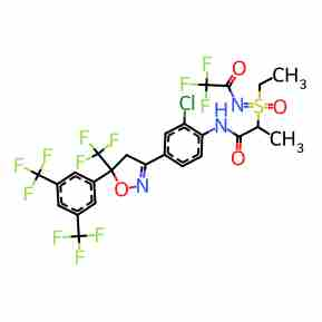 CCS(=O)(=NC(=O)C(F)(F)F)C(C)C(=O)Nc1ccc(C2=NOC(c3cc(C(F)(F)F)cc(C(F)(F)F)c3)(C(F)(F)F)C2)cc1Cl